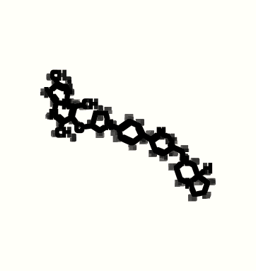 Cc1nc2nc(C)c(OC3CCN(c4ccc(-c5ccc(CN6CCN7CCC[C@H]7C6)nn5)cc4)C3)c(C)n2n1